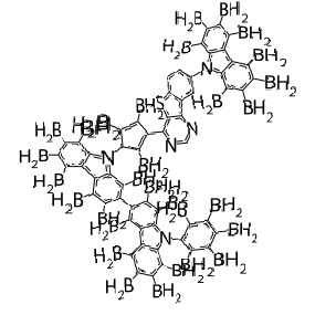 BC1=C(B)C(n2c3c(B)c(B)c(B)c(B)c3c3c(B)c(B)c(-c4c(B)c(B)c5c(c4B)c4c(B)c(B)c(B)c(B)c4n5-c4c(B)c(B)c(B)c(B)c4B)c(B)c32)C(B)=C1c1ncnc2c1sc1ccc(-n3c4c(B)c(B)c(B)c(B)c4c4c(B)c(B)c(B)c(B)c43)cc12